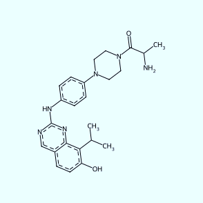 CC(N)C(=O)N1CCN(c2ccc(Nc3ncc4ccc(O)c(C(C)C)c4n3)cc2)CC1